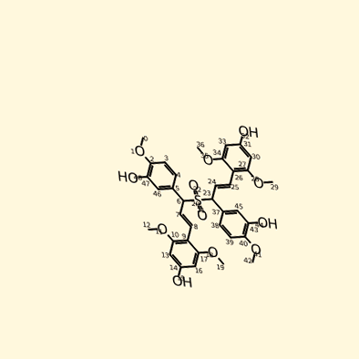 COc1ccc(C(C=Cc2c(OC)cc(O)cc2OC)S(=O)(=O)C(C=Cc2c(OC)cc(O)cc2OC)c2ccc(OC)c(O)c2)cc1O